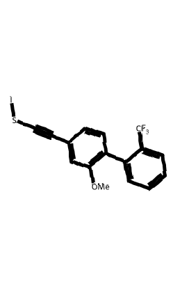 COc1cc(C#CSI)ccc1-c1ccccc1C(F)(F)F